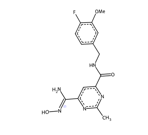 COc1cc(CNC(=O)c2cc(/C(N)=N/O)nc(C)n2)ccc1F